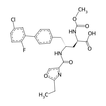 CCc1nc(C(=O)N[C@H](Cc2ccc(-c3cc(Cl)ccc3F)cc2)C[C@@H](NC(=O)OC)C(=O)O)co1